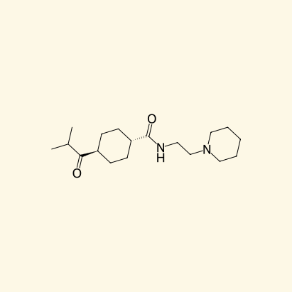 CC(C)C(=O)[C@H]1CC[C@H](C(=O)NCCN2CCCCC2)CC1